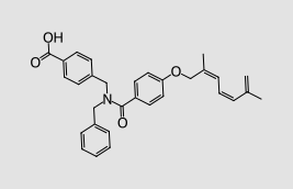 C=C(C)/C=C\C=C(\C)COc1ccc(C(=O)N(Cc2ccccc2)Cc2ccc(C(=O)O)cc2)cc1